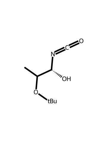 CC(OC(C)(C)C)[C@@H](O)N=C=O